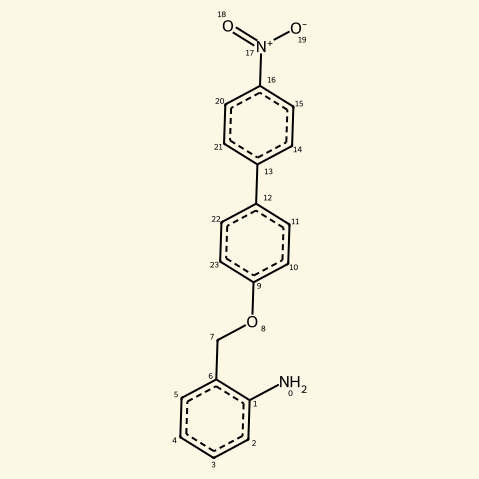 Nc1ccccc1COc1ccc(-c2ccc([N+](=O)[O-])cc2)cc1